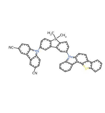 C[Si]1(C)c2ccc(-n3c4ccc(C#N)cc4c4cc(C#N)ccc43)cc2-c2cc(-n3c4ccccc4c4c5sc6ccccc6c5ccc43)ccc21